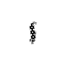 CC(C)Cc1ccc(-c2ccc(-c3ccc(OC(F)F)cc3)c(F)c2)cc1